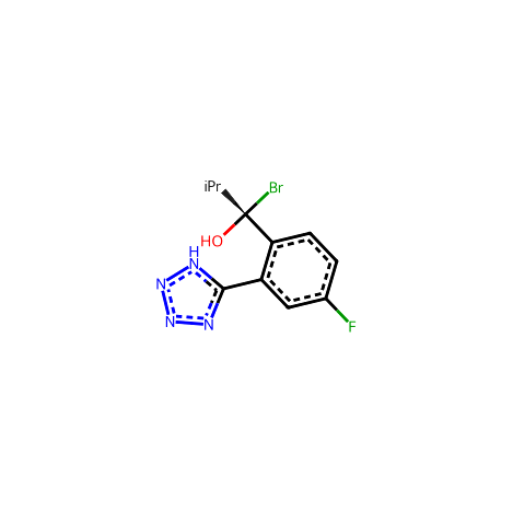 CC(C)[C@@](O)(Br)c1ccc(F)cc1-c1nnn[nH]1